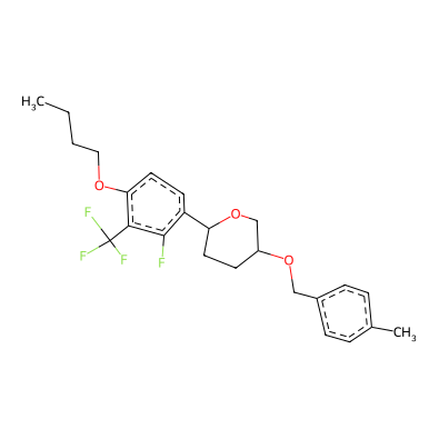 CCCCOc1ccc(C2CCC(OCc3ccc(C)cc3)CO2)c(F)c1C(F)(F)F